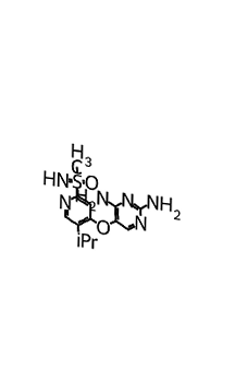 CC(C)c1cnc(S(C)(=N)=O)cc1Oc1cnc(N)nc1N